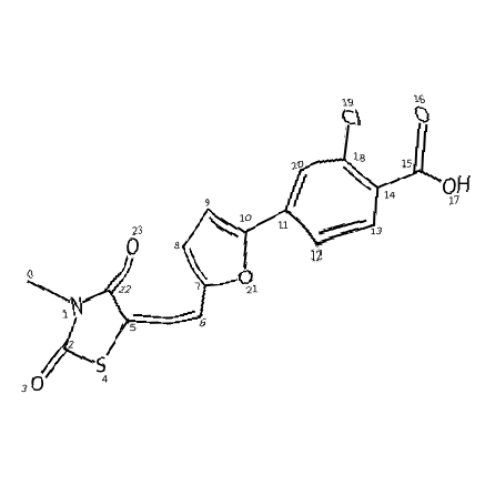 CN1C(=O)SC(=Cc2ccc(-c3ccc(C(=O)O)c(Cl)c3)o2)C1=O